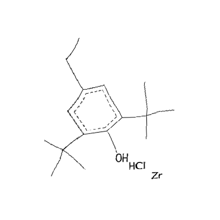 CCc1cc(C(C)(C)C)c(O)c(C(C)(C)C)c1.Cl.[Zr]